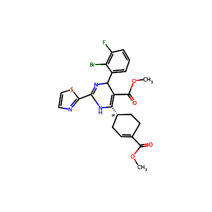 COC(=O)C1=CC[C@H](C2=C(C(=O)OC)C(c3cccc(F)c3Br)N=C(c3nccs3)N2)CC1